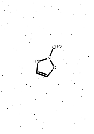 O=CN1NC=CO1